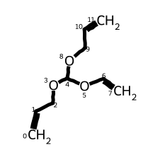 C=CCOC(OC=C)OCC=C